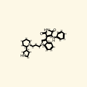 O=C1NC(=O)C(c2cn(CCCN3CCCCC3C3CCNC3)c3ccccc23)=C1Nc1ccccc1